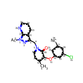 CC(=O)n1nc(Cn2ccc(C)c(Oc3cc(Cl)cc(C#N)c3)c2=O)c2cccnc21